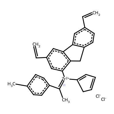 C=Cc1ccc2c(c1)-c1cc(C=C)c[c](/[Zr+2]([C]3=CC=CC3)=[C](/C)c3ccc(C)cc3)c1C2.[Cl-].[Cl-]